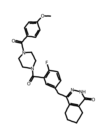 COc1ccc(C(=O)N2CCN(C(=O)c3cc(Cc4n[nH]c(=O)c5c4CCCC5)ccc3F)CC2)cc1